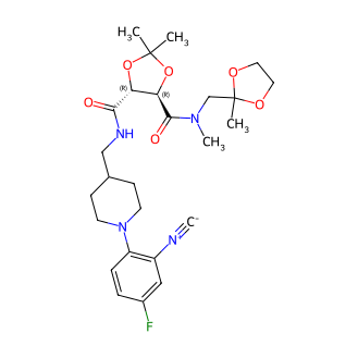 [C-]#[N+]c1cc(F)ccc1N1CCC(CNC(=O)[C@@H]2OC(C)(C)O[C@H]2C(=O)N(C)CC2(C)OCCO2)CC1